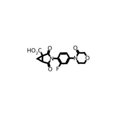 O=C1COCCN1c1ccc(N2C(=O)C3CC3(C(=O)O)C2=O)c(F)c1